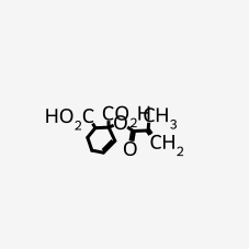 C=C(C)C(=O)OC1(C(=O)O)C=CCCC1C(=O)O